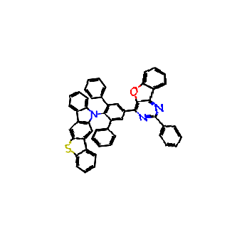 c1ccc(-c2nc(-c3cc(-c4ccccc4)c(-n4c5ccccc5c5cc6sc7ccccc7c6cc54)c(-c4ccccc4)c3)c3oc4ccccc4c3n2)cc1